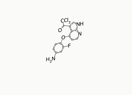 Nc1ccc(Oc2ccnc3[nH]cc(C(=O)C(Cl)(Cl)Cl)c23)c(F)c1